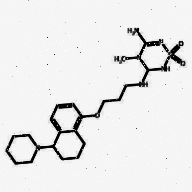 CN1C(N)=NS(=O)(=O)NC1NCCCOc1cccc2c1CCCC2N1CCCCC1